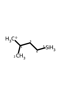 CC(C)CC[SiH3]